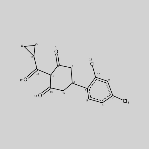 O=C1CC(c2ccc(Cl)cc2Cl)CC(=O)C1C(=O)C1CC1